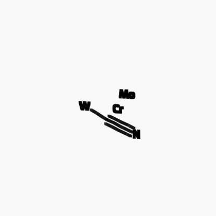 N#[C][W].[Cr].[Mo]